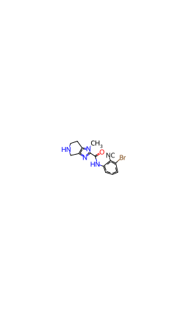 Cn1c(C(=O)Nc2cccc(Br)c2C#N)nc2c1CCNC2